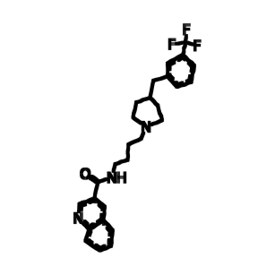 O=C(NCCCCN1CCC(Cc2cccc(C(F)(F)F)c2)CC1)c1cnc2ccccc2c1